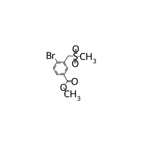 COC(=O)c1ccc(Br)c(CS(C)(=O)=O)c1